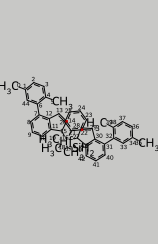 Cc1ccc(C)c(-c2cccc3c2C=C[CH]3[Hf]([CH3])([CH3])([CH3])(=[SiH2])([c]2ccccc2)[CH]2C=Cc3c(-c4cc(C)ccc4C)cccc32)c1